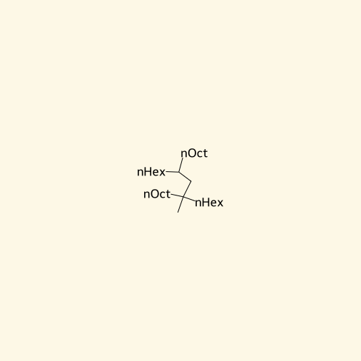 CCCCCCCCC(CCCCCC)CC(C)(CCCCCC)CCCCCCCC